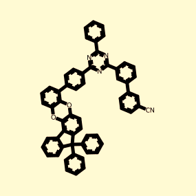 N#Cc1cccc(-c2cccc(-c3nc(-c4ccccc4)nc(-c4ccc(-c5cccc6c5Oc5ccc7c(c5O6)-c5ccccc5C7(c5ccccc5)c5ccccc5)cc4)n3)c2)c1